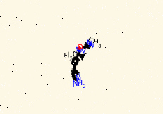 Cn1cc(-c2nc([C@](C)(c3ccc(-c4ccc(N)nc4)cc3)C3CC3)no2)cn1